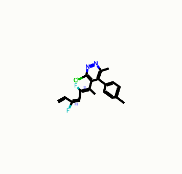 C=C/C(F)=C\C(F)=C(/C)c1c(Cl)nnc(C)c1-c1ccc(C)cc1